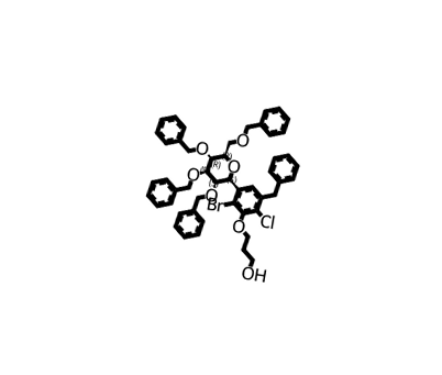 OCCCOc1c(Cl)c(Cc2ccccc2)cc([C@@H]2O[C@H](COCc3ccccc3)[C@@H](OCc3ccccc3)[C@H](OCc3ccccc3)[C@H]2OCc2ccccc2)c1Br